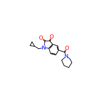 O=C1C(=O)N(CC2CC2)c2ccc(C(=O)N3CCCCC3)cc21